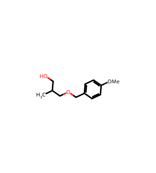 COc1ccc(COCC(C)CO)cc1